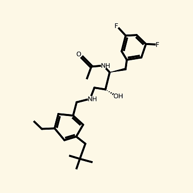 CCc1cc(CNC[C@@H](O)[C@H](Cc2cc(F)cc(F)c2)NC(C)=O)cc(CC(C)(C)C)c1